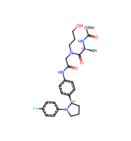 COC(=O)N[C@H](C(=O)N(CCCO)CC(=O)Nc1ccc([C@H]2CCCN2c2ccc(F)cc2)cc1)C(C)C